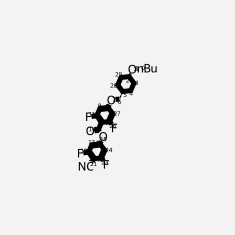 CCCCO[C@H]1CC[C@H](COc2cc(F)c(C(=O)Oc3cc(F)c(C#N)c(F)c3)c(F)c2)CC1